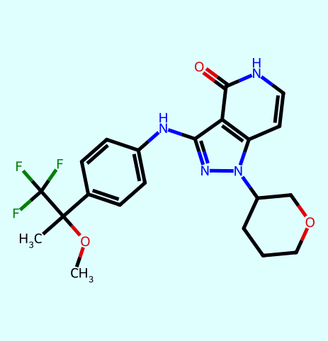 COC(C)(c1ccc(Nc2nn(C3CCCOC3)c3cc[nH]c(=O)c23)cc1)C(F)(F)F